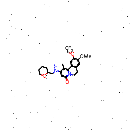 COc1cc2c(cc1OCC(F)(F)F)-c1c(C)c(NCC3CCCCO3)cc(=O)n1CC2